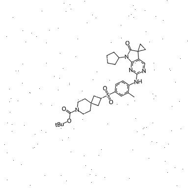 Cc1cc(S(=O)(=O)C2CC3(CCN(C(=O)OC(C)(C)C)CC3)C2)ccc1Nc1ncc2c(n1)N(C1CCCC1)C(=O)C21CC1